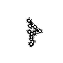 c1ccc(N(c2cccc(-c3cccc4c3oc3ccccc34)c2)c2ccc3c(c2)c2ccccc2c2cc4sc5c6ccccc6ccc5c4cc32)cc1